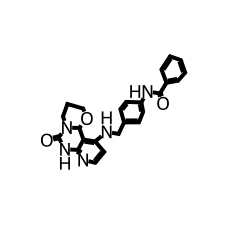 O=C(Nc1ccc(CNc2ccnc3c2C2OCCCN2C(=O)N3)cc1)c1ccccc1